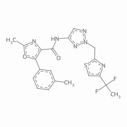 Cc1cccc(-c2oc(C)nc2C(=O)Nc2cnn(Cc3nc(C(C)(F)F)cs3)n2)c1